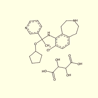 CC(Nc1c(Cl)ccc2c1CCNCC2)(OC1CCCC1)c1cccnc1.O=C(O)C(O)C(O)C(=O)O